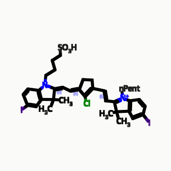 CCCCC[N+]1=C(/C=C/C2=C(Cl)C(=C/C=C3/N(CCCCS(=O)(=O)O)c4ccc(I)cc4C3(C)C)/CC2)C(C)(C)c2cc(I)ccc21